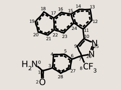 NC(=O)c1ccc(C2(C(F)(F)F)C=C(c3cccc4cc5ccccc5cc34)N=N2)cc1